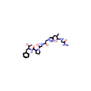 CNC(=O)CNC(=O)C(C)Cc1cn(CC(=O)NCC(=O)N2CCCC2C(=O)NC(Cc2ccccc2)C(C)=O)nn1